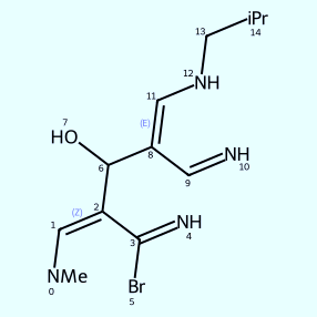 CN/C=C(\C(=N)Br)C(O)/C(C=N)=C/NCC(C)C